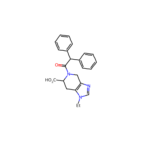 CCn1cnc2c1CC(C(=O)O)N(C(=O)C(c1ccccc1)c1ccccc1)C2